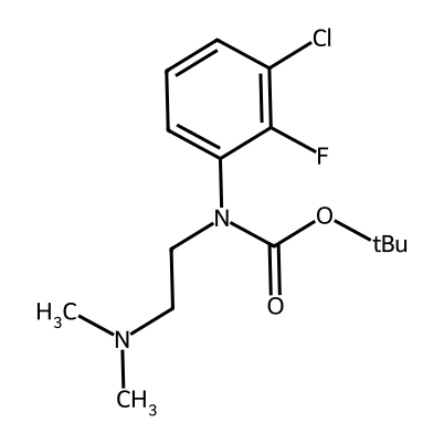 CN(C)CCN(C(=O)OC(C)(C)C)c1cccc(Cl)c1F